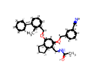 CC(=O)NCc1c(OCc2cccc(C#N)c2)cc(OCc2cccc(-c3ccccc3)c2C)c2c1CCC2